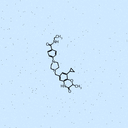 CCNC(=O)c1ccc(N2CCN(Cc3cc4c(c(C5CC5)c3)OC(C)C(=O)N4)CC2)cc1